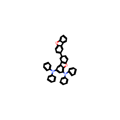 c1ccc(N(c2ccccc2)c2cc(N(c3ccccc3)c3ccccc3)c3oc4ccc(-c5ccc6oc7ccccc7c6c5)cc4c3c2)cc1